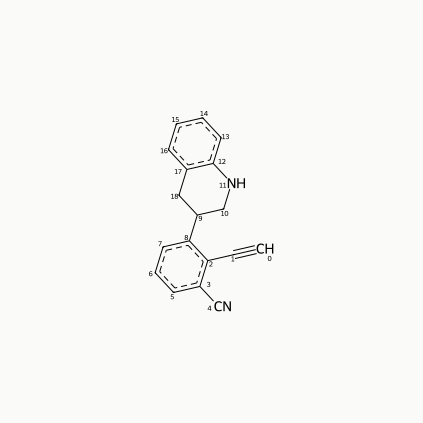 C#Cc1c(C#N)cccc1C1CNc2ccccc2C1